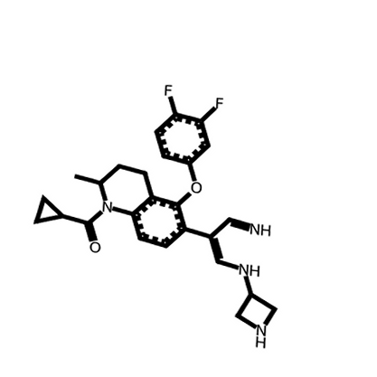 CC1CCc2c(ccc(/C(C=N)=C/NC3CNC3)c2Oc2ccc(F)c(F)c2)N1C(=O)C1CC1